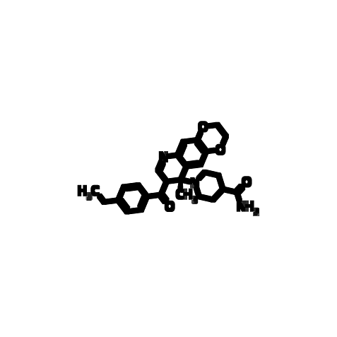 CCc1ccc(C(=O)C2C=Nc3cc4c(cc3[C@]2(C)N2CCC(C(N)=O)CC2)OCCO4)cc1